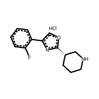 Cl.Fc1ccccc1-c1coc([C@H]2CCCNC2)n1